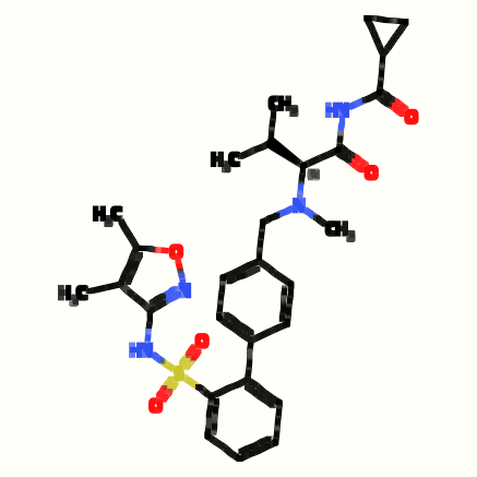 Cc1onc(NS(=O)(=O)c2ccccc2-c2ccc(CN(C)[C@H](C(=O)NC(=O)C3CC3)C(C)C)cc2)c1C